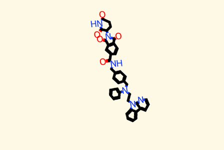 O=C1CCC(N2C(=O)c3ccc(C(=O)NCc4ccc(CN(CCn5c6ccccc6c6cccnc65)c5ccccc5)cc4)cc3C2=O)C(=O)N1